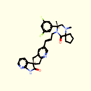 CN1C[C@@](C)(c2cc(F)cc(F)c2)N(C/C=C/c2cnc3c(c2)C[C@@]2(C3)C(=O)Nc3ncccc32)C(=O)C12CCCC2